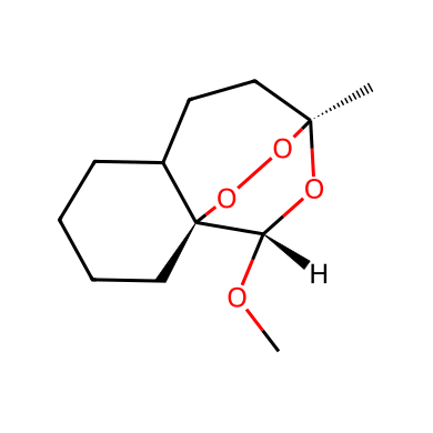 CO[C@H]1O[C@]2(C)CCC3CCCC[C@]31OO2